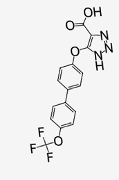 O=C(O)c1nn[nH]c1Oc1ccc(-c2ccc(OC(F)(F)F)cc2)cc1